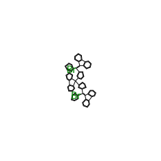 Brc1ccc2c(c1)C(c1cccc(C(=C3c4ccccc4-c4ccccc43)c3ccccc3)c1)(c1cccc(C(=C3c4ccccc4-c4ccccc43)c3ccccc3)c1)c1cc(Br)ccc1-2